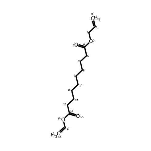 C=CCOC(=O)CCCCCCCCC(=O)OC=C